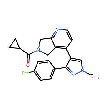 Cn1cc(-c2ccnc3c2CN(C(=O)C2CC2)C3)c(-c2ccc(F)cc2)n1